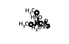 Cc1ccc(Cn2nc(C(=O)Nc3cccc(C)c3)c3c2[C@H](C)CN(C(=O)c2ccc[nH]2)C3)cc1